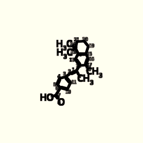 C/C(=C\c1ccc(C(=O)O)cc1)c1cc2c(cc1C)CCCC2(C)C